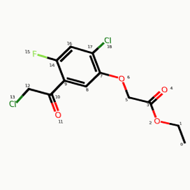 CCOC(=O)COc1cc(C(=O)CCl)c(F)cc1Cl